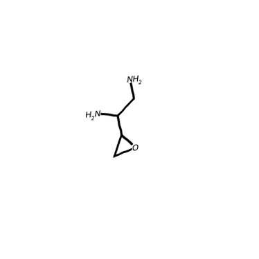 NCC(N)C1CO1